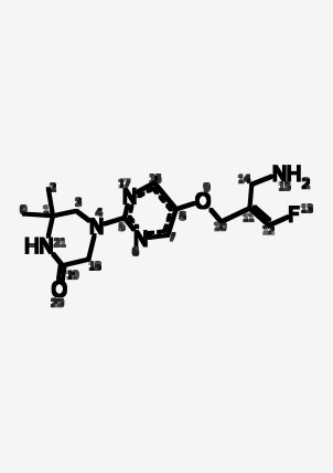 CC1(C)CN(c2ncc(OC/C(=C/F)CN)cn2)CC(=O)N1